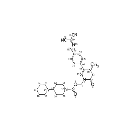 C[C@@H]1CC(=O)N(COC(=O)N2CCC(N3CCCCC3)CC2)N=C1c1ccc(NN=C(C#N)C#N)cc1